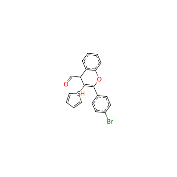 O=CC1C([SH]2C=CC=C2)=C(c2ccc(Br)cc2)Oc2ccccc21